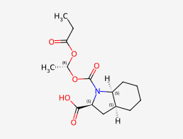 CCC(=O)O[C@@H](C)OC(=O)N1[C@H](C(=O)O)C[C@@H]2CCCC[C@@H]21